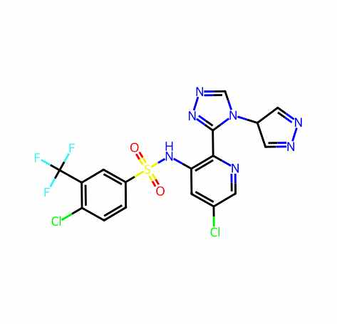 O=S(=O)(Nc1cc(Cl)cnc1-c1nncn1C1C=NN=C1)c1ccc(Cl)c(C(F)(F)F)c1